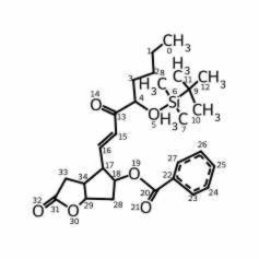 CCCCC(O[Si](C)(C)C(C)(C)C)C(=O)C=CC1C(OC(=O)c2ccccc2)CC2OC(=O)CC21